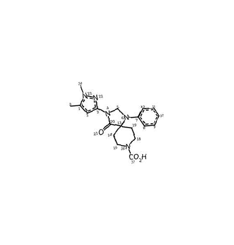 Cc1cc(N2CN(c3ccccc3)C3(CCN(C(=O)O)CC3)C2=O)nn1C